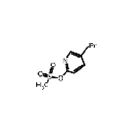 CC(C)c1ccc(OS(C)(=O)=O)nc1